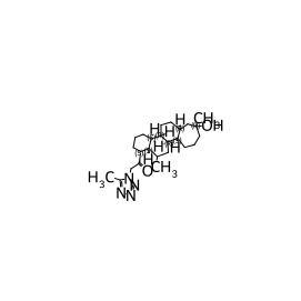 Cc1nnnn1CC(=O)[C@H]1CCC[C@H]2[C@@H]3CC[C@@H]4C[C@](C)(O)CCC[C@@H]4[C@H]3CC(C)[C@@H]21